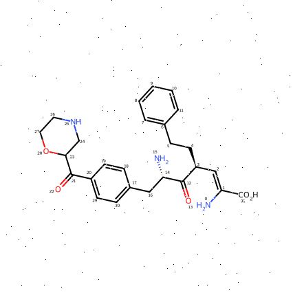 NC(=C[C@H](CCc1ccccc1)C(=O)[C@@H](N)Cc1ccc(C(=O)C2CNCCO2)cc1)C(=O)O